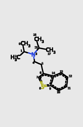 CC(C)N(CCc1csc2ccccc12)C(C)C